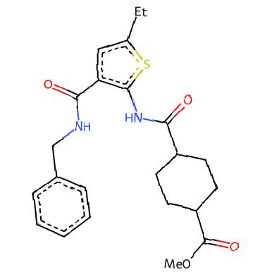 CCc1cc(C(=O)NCc2ccccc2)c(NC(=O)C2CCC(C(=O)OC)CC2)s1